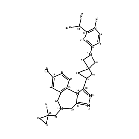 Fc1ccc(N2CC3(CC(c4nnc5n4-c4ccc(Cl)cc4CN(CC4(F)CC4)C5)C3)C2)nc1C(F)F